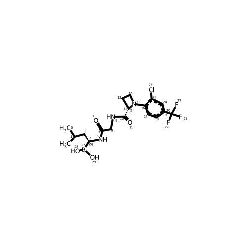 CC(C)C[C@@H](NC(=O)CNC(=O)[C@@H]1CCN1c1ccc(C(F)(F)F)cc1Cl)B(O)O